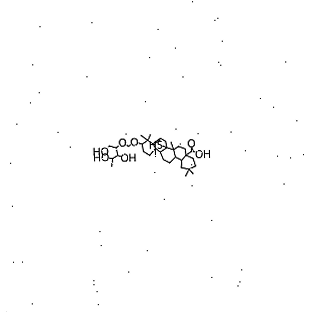 CC(O)C(O)C(CO)OCOC1CCC2(C)C(=CCC3(S)C2CCC2C4CC(C)(C)CCC4(C(=O)O)CCC23C)C1(C)C